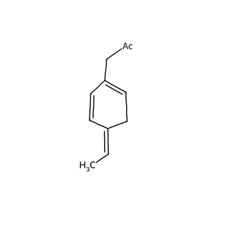 CC=C1C=CC(CC(C)=O)=CC1